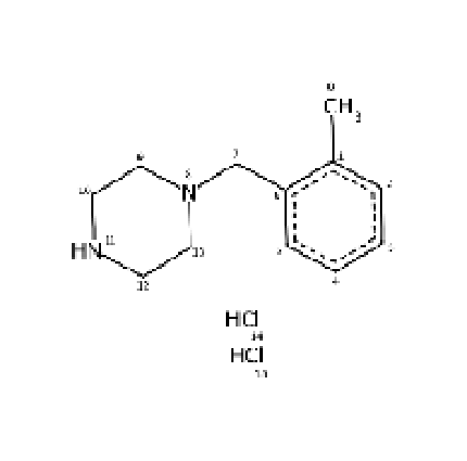 Cc1ccccc1CN1CCNCC1.Cl.Cl